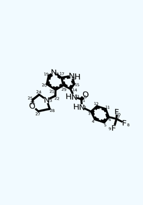 O=C(Nc1ccc(C(F)(F)F)cc1)Nc1c[nH]c2nccc(CN3CCOCC3)c12